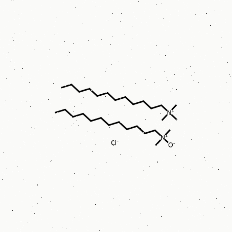 CCCCCCCCCCCC[N+](C)(C)C.CCCCCCCCCCCC[N+](C)(C)[O-].[Cl-]